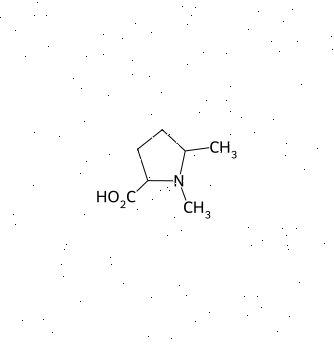 CC1CCC(C(=O)O)N1C